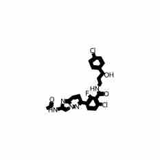 CC(=O)Nc1cn2nc(-c3ccc(Cl)c(C(=O)NCC[C@H](O)c4ccc(Cl)cc4)c3F)ccc2n1